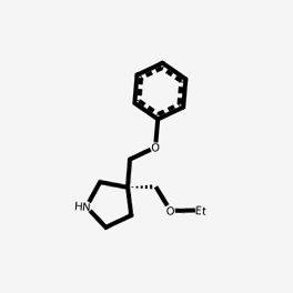 CCOC[C@]1(COc2ccccc2)CCNC1